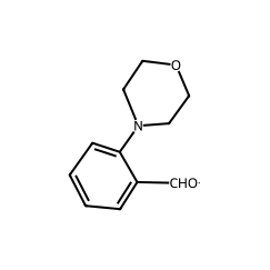 O=[C]c1ccccc1N1CCOCC1